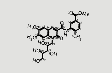 COC(=O)c1ccc(C)c(NC(=O)c2nc3cc(C)c(C)cc3n(C[C@H](O)[C@H](O)[C@H](O)CO)c2=O)c1